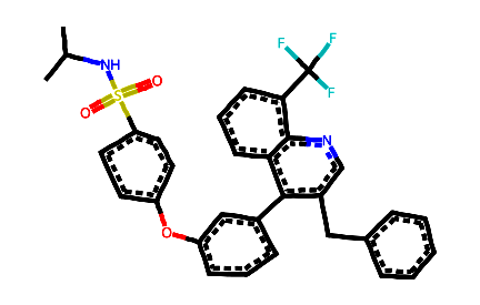 CC(C)NS(=O)(=O)c1ccc(Oc2cccc(-c3c(Cc4ccccc4)cnc4c(C(F)(F)F)cccc34)c2)cc1